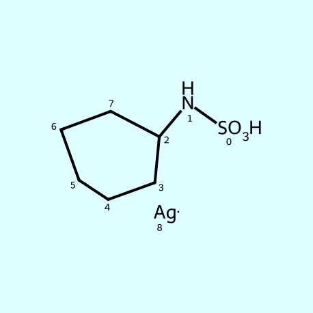 O=S(=O)(O)NC1CCCCC1.[Ag]